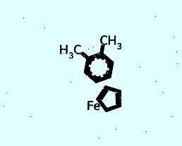 C1=CCC=C1.Cc1ccccc1C.[Fe]